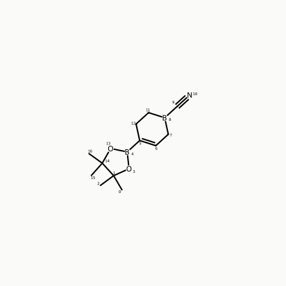 CC1(C)OB(C2=CCB(C#N)CC2)OC1(C)C